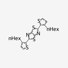 CCCCCCc1ccsc1-c1nc2sc(-c3sccc3CCCCCC)nc2s1